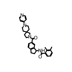 Cc1cccc(C(=O)NC2CCc3ccc(C(=O)N4CCC5(CCN(c6ccncc6)CC5)C4)cc32)c1C